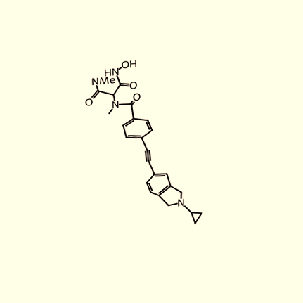 CNC(=O)C(C(=O)NO)N(C)C(=O)c1ccc(C#Cc2ccc3c(c2)CN(C2CC2)C3)cc1